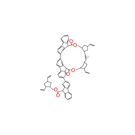 C=CC1CC(C=C)C(COC(=O)C2c3ccccc3-c3ccc(-c4ccc5c(c4)C4C(=O)OCC6CC(/C=C\C7CC(C=C)CC7COC(=O)C7c8ccccc8-c8ccc(cc87)-c7ccc-5c4c7)CC6C=C)cc32)C1